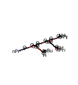 CCC/C=C/CCCCC(=O)CCCCCCCC(=O)OCC(COC(=O)CCCCCCCC(=O)OCC(COC(=O)CCCCCCCC(=O)OC(N)CCC)OC(=O)CCCCCCCC(=O)OC(N)CCC)OC(=O)CCCCCCCC(=O)ONCCCC